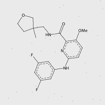 COc1ccc(Nc2cc(F)cc(F)c2)nc1C(=O)NCC1(C)CCOC1